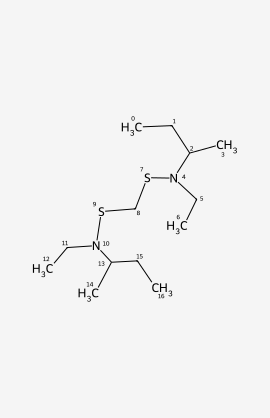 CCC(C)N(CC)SCSN(CC)C(C)CC